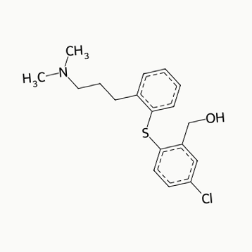 CN(C)CCCc1ccccc1Sc1ccc(Cl)cc1CO